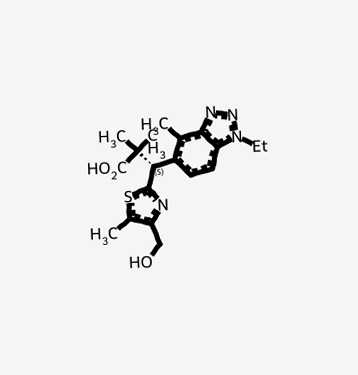 CCn1nnc2c(C)c([C@H](c3nc(CO)c(C)s3)C(C)(C)C(=O)O)ccc21